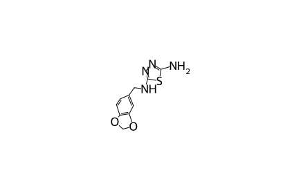 Nc1nnc(NCc2ccc3c(c2)OCO3)s1